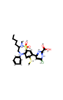 CCCCC1CN(c2ccccc2)c2cc(SC)c(-c3cc(Cl)nc(C(=O)O)n3)cc2S(=O)(=O)N1C